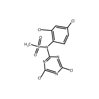 CS(=O)(=O)N(c1nc(Cl)nc(Cl)n1)c1ccc(Cl)cc1Cl